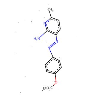 CCOC(=O)Oc1ccc(/N=N/c2ccc(C)nc2N)cc1